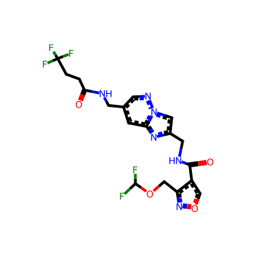 O=C(CCC(F)(F)F)NCc1cnn2cc(CNC(=O)c3conc3COC(F)F)nc2c1